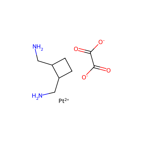 NCC1CCC1CN.O=C([O-])C(=O)[O-].[Pt+2]